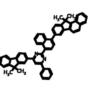 CC1(C)c2ccccc2-c2ccc(-c3cc(-c4ccccc4)nc(-c4ccc(-c5ccc6c(c5)-c5ccc7ccccc7c5C6(C)C)c5ccccc45)n3)cc21